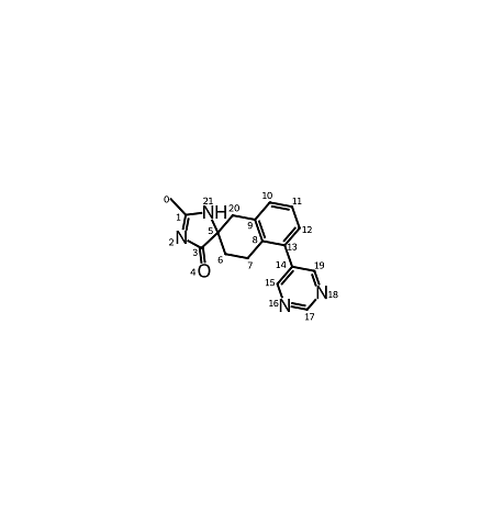 CC1=NC(=O)C2(CCc3c(cccc3-c3cncnc3)C2)N1